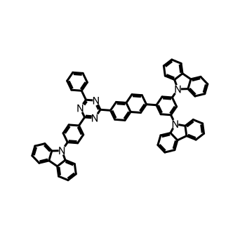 c1ccc(-c2nc(-c3ccc(-n4c5ccccc5c5ccccc54)cc3)nc(-c3ccc4cc(-c5cc(-n6c7ccccc7c7ccccc76)cc(-n6c7ccccc7c7ccccc76)c5)ccc4c3)n2)cc1